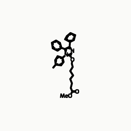 COC(=O)CCCCCCCOc1nc(-c2ccccc2)c(-c2ccccc2)n1-c1ccc(C)cc1